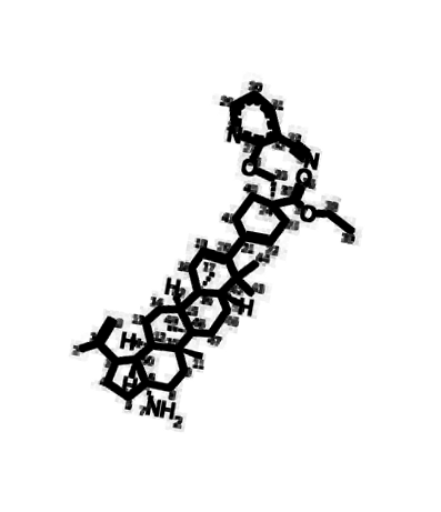 C=C(C)C1CC[C@]2(N)CC[C@]3(C)[C@H](CC[C@@H]4[C@@]5(C)CC=C(C6=CC[C@](COc7ncccc7C#N)(C(=O)OCC)CC6)C(C)(C)[C@@H]5CC[C@]43C)[C@@H]12